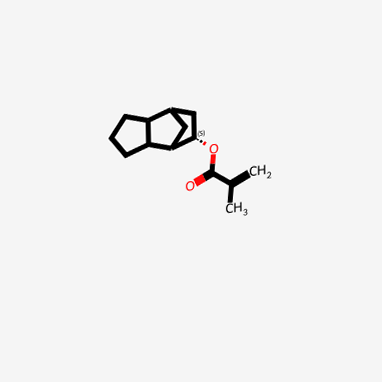 C=C(C)C(=O)O[C@H]1CC2CC1C1CCCC21